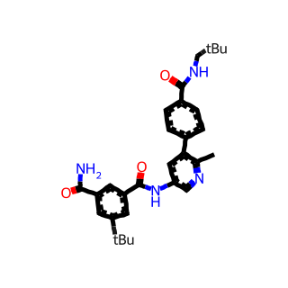 Cc1ncc(NC(=O)c2cc(C(N)=O)cc(C(C)(C)C)c2)cc1-c1ccc(C(=O)NCC(C)(C)C)cc1